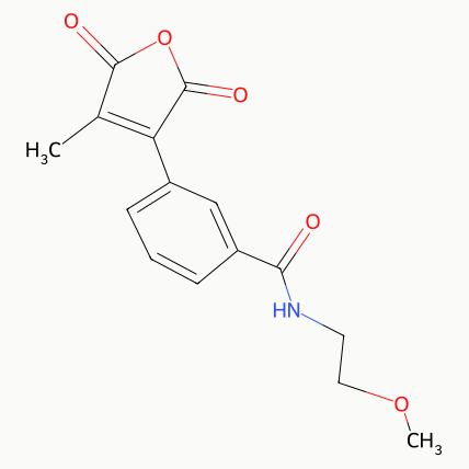 COCCNC(=O)c1cccc(C2=C(C)C(=O)OC2=O)c1